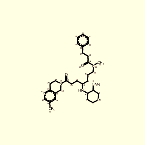 COC1COCCC1NC(CCCN(C)C(=O)CCc1ccccc1)CCC(=O)N1CCc2ncc(C(F)(F)F)cc2C1